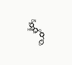 N#Cc1cc2c(cn1)[nH]c1ncc(Oc3ccc(CN4CCOCC4)cc3)cc12